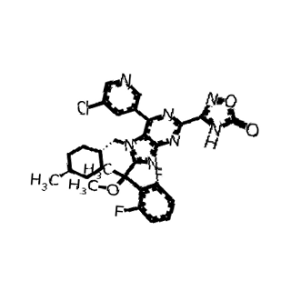 COC(C)(c1c(F)cccc1F)c1nc2nc(-c3noc(=O)[nH]3)nc(-c3cncc(Cl)c3)c2n1C[C@H]1CC[C@H](C)CC1